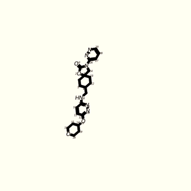 O=C1OC2(CCC(CNc3ccc(OC4CCOCC4)nn3)CC2)CN1c1cccnn1